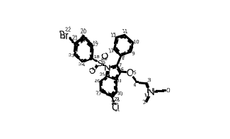 CN(C)CCOc1c(-c2ccccc2)n(S(=O)(=O)c2ccc(Br)cc2)c2ccc(Cl)cc12